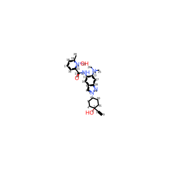 C#C[C@]1(O)CC[C@H](n2cc3cc(NC(=O)c4cccc(C)[n+]4O)c(N(C)C)cc3n2)CC1